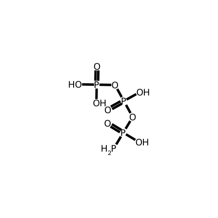 O=P(O)(O)OP(=O)(O)OP(=O)(O)P